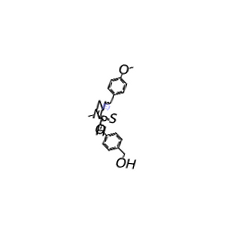 COc1ccc(/C=N/N(C)[PH](=S)Oc2ccc(CO)cc2)cc1